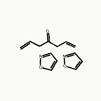 C=CCC(=O)CC=C.c1cnoc1.c1cnoc1